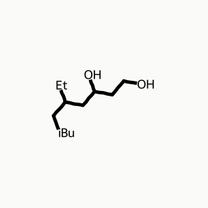 CCC(C)CC(CC)CC(O)CCO